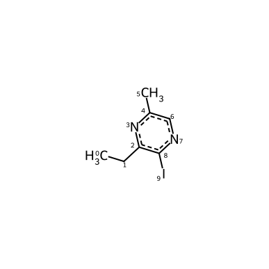 CCc1nc(C)cnc1I